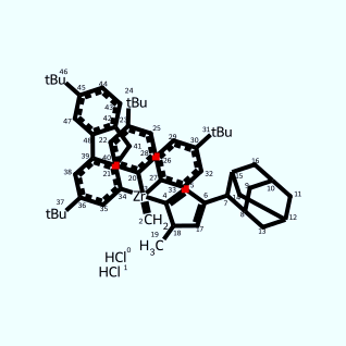 Cl.Cl.[CH2]=[Zr]([C]1=CC(C2C3CC4CC(C3)CC2C4)=CC1C)([c]1ccc(C(C)(C)C)cc1)([c]1ccc(C(C)(C)C)cc1)[c]1cc(C(C)(C)C)cc2c1Cc1ccc(C(C)(C)C)cc1-2